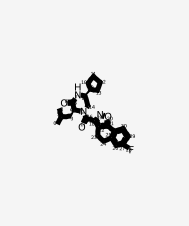 CC(C)C[C@H]1C(=O)N[C@@H](C2CCCC2)CN1C(=O)c1noc2c1CCc1cc(F)ccc1-2